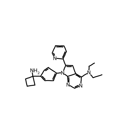 CCN(CC)c1ncnc2c1cc(-c1ccccn1)n2-c1ccc(C2(N)CCC2)cc1